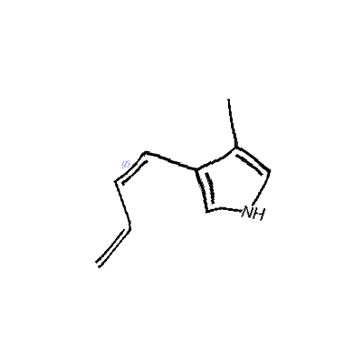 C=C/C=C\c1c[nH]cc1C